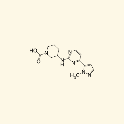 Cn1nccc1-c1ccnc(NC2CCCN(C(=O)O)C2)n1